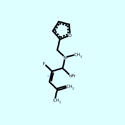 C=C(C)/C=C(/F)C(CCC)N(C)Cc1ccco1